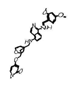 COc1ccc(CNc2nccc3c(NCC45CCOC(COc6ccn(C)c(=O)c6)(C4)C5)cccc23)c(OC)c1